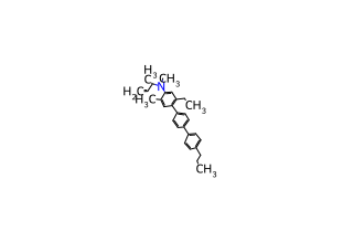 C=CC(C)N(C)c1cc(CC)c(-c2ccc(-c3ccc(CCC)cc3)cc2)cc1C